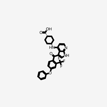 O=C(c1ccc(Oc2ccccc2)cc1C(F)(F)F)c1c[nH]c2nccc(N[C@H]3CC[C@@H](C(=O)O)CC3)c12